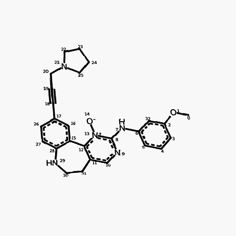 COc1cccc(Nc2ncc3c([n+]2[O-])-c2cc(C#CCN4CCCC4)ccc2NCC3)c1